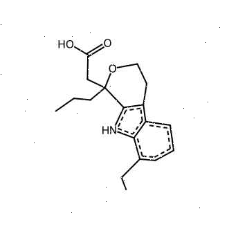 CCCC1(CC(=O)O)OCCc2c1[nH]c1c(CC)cccc21